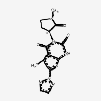 Cc1c(-n2nccn2)sc2[nH]c(=O)n([C@H]3CCN(C)C3=O)c(=O)c12